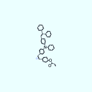 C=CC(=O)Oc1ccc(/C=C\c2ccc(N(c3ccccc3)c3ccc(C=C(c4ccccc4)c4ccccc4)cc3)cc2)cc1